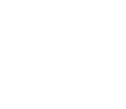 [2H]c1ccc2c(c1)-c1ccccc1C2